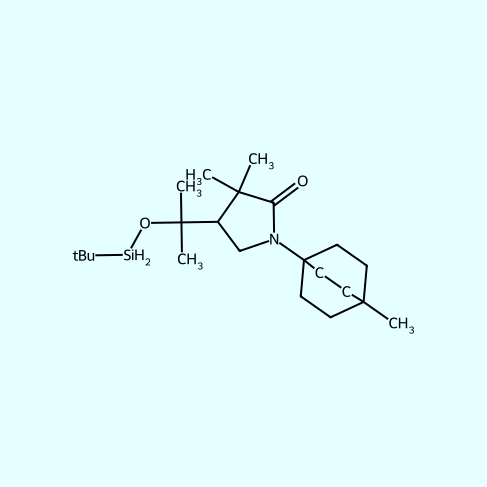 CC12CCC(N3CC(C(C)(C)O[SiH2]C(C)(C)C)C(C)(C)C3=O)(CC1)CC2